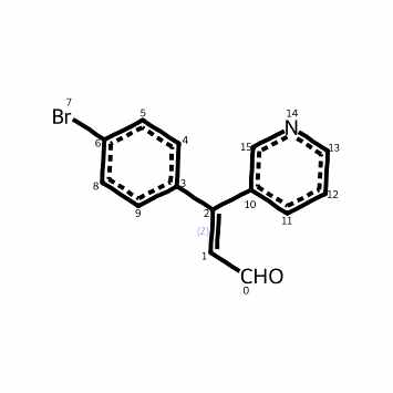 O=C/C=C(/c1ccc(Br)cc1)c1cccnc1